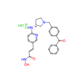 Cl.Cl.O=C(C=Cc1ccc(N[C@@H]2CCN(Cc3ccc(C(=O)c4ccccc4)cc3)C2)nc1)NO